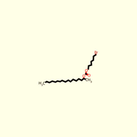 CCCCCCCCCCCCCCCC(C)OC(=O)OCCCCCCCBr